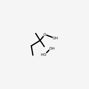 CCC(C)(C)OO.OO